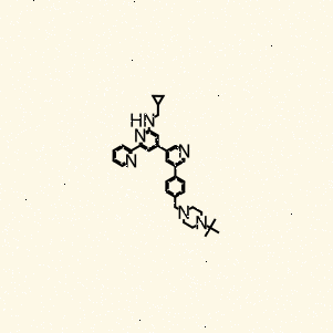 CC(C)(C)N1CCN(Cc2ccc(-c3cncc(-c4cc(NCC5CC5)nc(-c5ccccn5)c4)c3)cc2)CC1